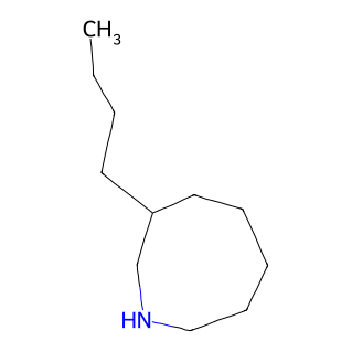 CCCCC1CCCCCNC1